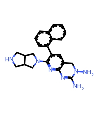 NC1=Nc2nc(N3CC4CNCC4C3)c(-c3cccc4ccccc34)cc2CN1N